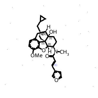 COc1ccc2c3c1O[C@H]1[C@H](N(C)C(=O)/C=C/c4ccoc4)CC[C@@]4(O)[C@@H](C2)N(CC2CC2)CC[C@]314